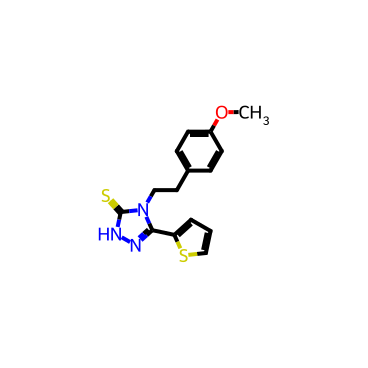 COc1ccc(CCn2c(-c3cccs3)n[nH]c2=S)cc1